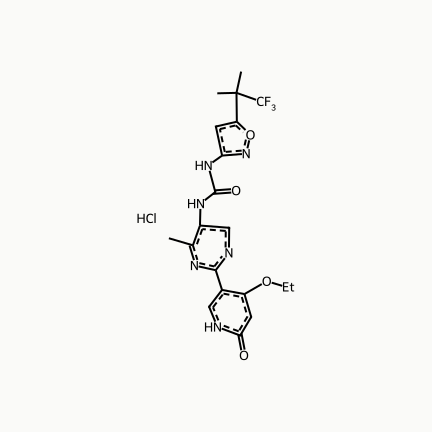 CCOc1cc(=O)[nH]cc1-c1ncc(NC(=O)Nc2cc(C(C)(C)C(F)(F)F)on2)c(C)n1.Cl